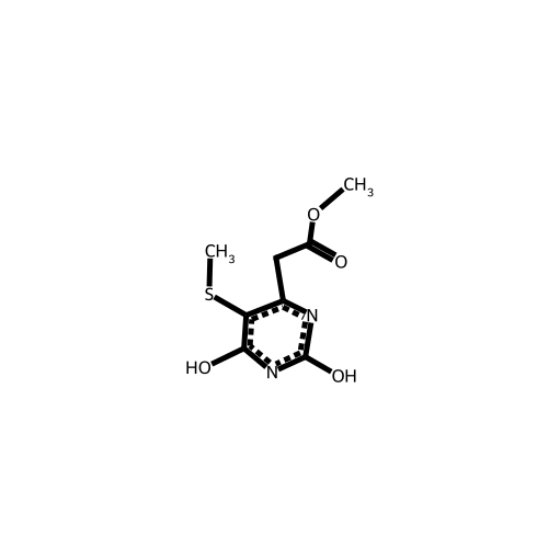 COC(=O)Cc1nc(O)nc(O)c1SC